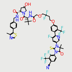 Cc1ncsc1-c1ccc(CNC(=O)[C@@H]2C[C@@H](O)CN2C(=O)[C@@H](NC(=O)COCC(F)(F)CCOc2ccc(-c3ncc(N4C(=S)N(c5ccc(C#N)c(C(F)(F)F)c5F)C(=O)C4(C)C)cc3F)c(C(F)(F)F)c2)C(C)(C)C)cc1